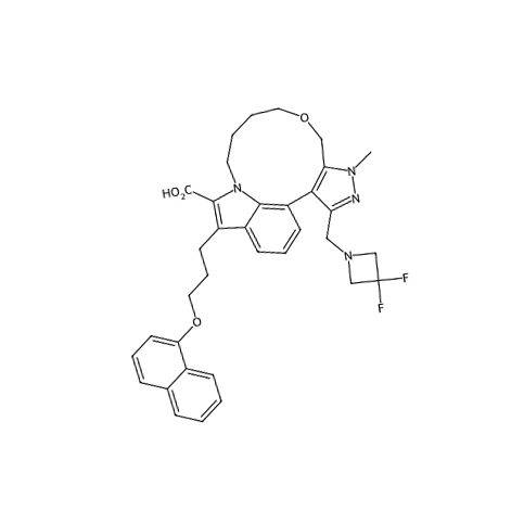 Cn1nc(CN2CC(F)(F)C2)c2c1COCCCCn1c(C(=O)O)c(CCCOc3cccc4ccccc34)c3cccc-2c31